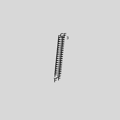 F/[C]=C(\F)C(F)(F)C(F)(F)C(F)(F)C(F)(F)C(F)(F)C(F)(F)C(F)(F)C(F)(F)C(F)(F)C(F)(F)C(F)(F)C(F)(F)C(F)(F)C(F)(F)C(F)(F)C(F)(F)C(F)(F)C(F)(F)C(F)(F)C(F)(F)F